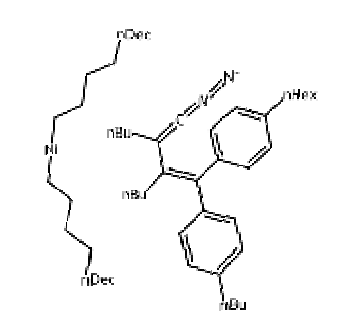 CCCCCCCCCCCCC[CH2][Ni][CH2]CCCCCCCCCCCCC.CCCCCCc1ccc(C(=C(CCCC)C(=C=[N+]=[N-])CCCC)c2ccc(CCCC)cc2)cc1